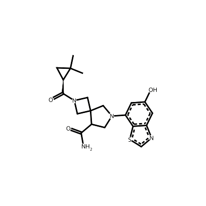 CC1(C)C[C@@H]1C(=O)N1CC2(C1)CN(c1cc(O)cc3ncsc13)CC2C(N)=O